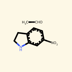 CC=O.O=[N+]([O-])c1ccc2c(c1)NCC2